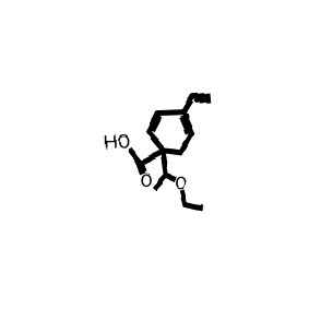 C=CC1=CCC(C(=O)O)(C(C)OCC)C=C1